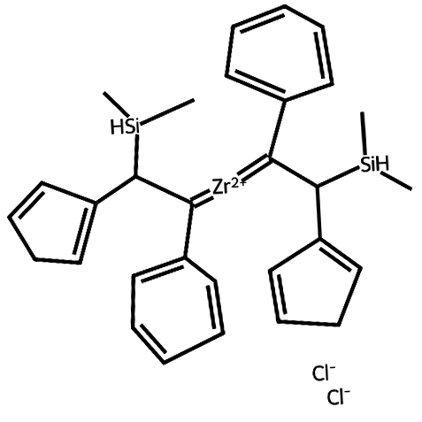 C[SiH](C)C(C1=CCC=C1)[C](=[Zr+2]=[C](c1ccccc1)C(C1=CCC=C1)[SiH](C)C)c1ccccc1.[Cl-].[Cl-]